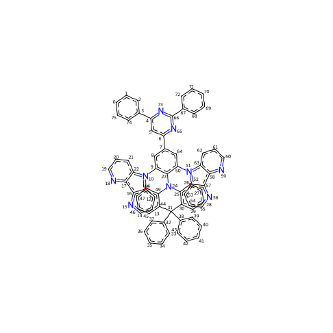 c1ccc(-c2cc(-c3cc(-n4c5cccnc5c5ncccc54)c(N4c5ccccc5C(c5ccccc5)(c5ccccc5)c5ccccc54)c(-n4c5cccnc5c5ncccc54)c3)nc(-c3ccccc3)n2)cc1